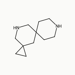 C1CC2(CCN1)CNCC1(CC1)C2